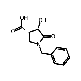 O=C(O)[C@H]1CN(Cc2ccccc2)C(=O)[C@@H]1O